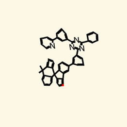 CC1(C)c2ccccc2C2(c3ccccc3-c3cc(-c4cccc(-c5nc(-c6ccccc6)nc(-c6cccc(-c7ccccn7)c6)n5)c4)ccc32)c2ccccc21